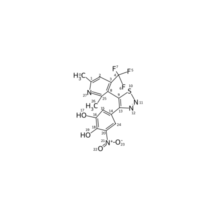 Cc1cc(C(F)(F)F)c(-c2snnc2-c2cc(O)c(O)c([N+](=O)[O-])c2)c(C)n1